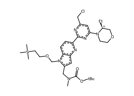 CC[C@H]1COCCN1c1cc(CCl)nc(-c2ccc3c(cc(CN(C)C(=O)OC(C)(C)C)n3COCC[Si](C)(C)C)n2)n1